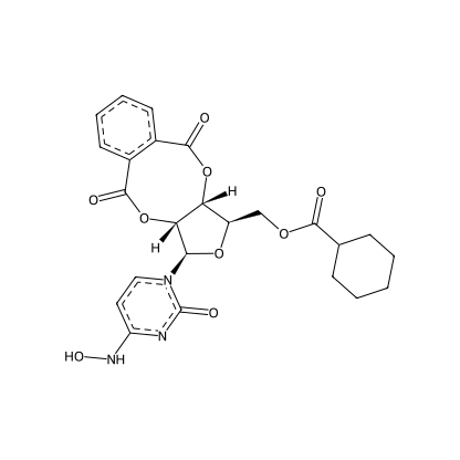 O=C1O[C@@H]2[C@H](OC(=O)c3ccccc31)[C@@H](COC(=O)C1CCCCC1)O[C@H]2n1ccc(NO)nc1=O